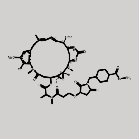 BNC(=O)C1CCC(CN2C(=O)CC(SCCC(=O)N(C)C(C)C(=O)OC3CC(=O)N(C)c4cc(cc(OC)c4Cl)C/C(C)=C/C=C/[C@@H](OC)[C@@]4(O)C[C@H](OC(=O)N4)[C@@H](C)[C@@H]4O[C@@]34C)C2=O)CC1